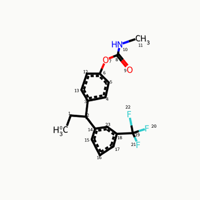 CC[C](c1ccc(OC(=O)NC)cc1)c1cccc(C(F)(F)F)c1